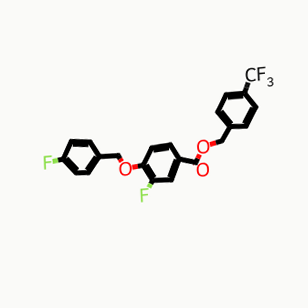 O=C(OCc1ccc(C(F)(F)F)cc1)c1ccc(OCc2ccc(F)cc2)c(F)c1